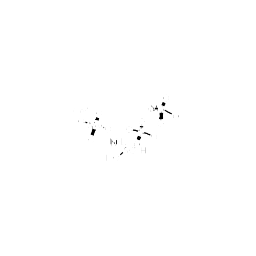 O=S(=O)(O)O.O=S(=O)([O-])[O-].[Ce+4].[N+].[NH4+].[O]=[Mo](=[O])([O-])[O-].[O]=[Mo](=[O])([O-])[O-]